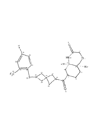 O=C1CO[C@H]2CCN(C(=O)N3CC4(CN(Sc5ccc(F)cc5C(F)(F)F)C4)C3)C[C@H]2N1